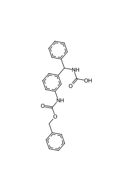 O=C(O)NC(c1ccccc1)c1cccc(NC(=O)OCc2ccccc2)c1